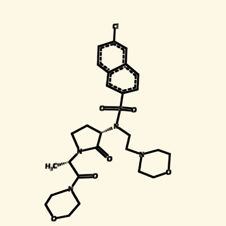 C[C@@H](C(=O)N1CCOCC1)N1CC[C@H](N(CCN2CCOCC2)S(=O)(=O)c2ccc3cc(Cl)ccc3c2)C1=O